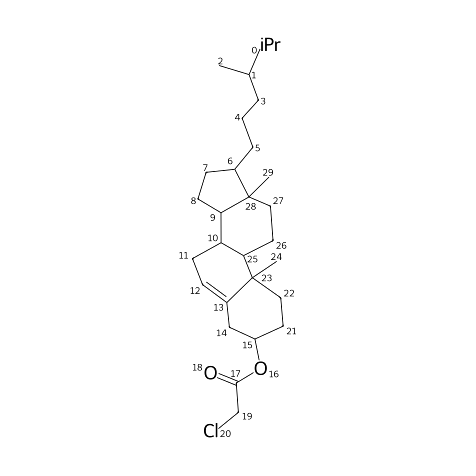 CC(C)C(C)CCCC1CCC2C3CC=C4CC(OC(=O)CCl)CCC4(C)C3CCC12C